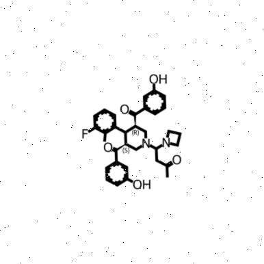 CC(=O)CC(N1CCC1)N1C[C@H](C(=O)c2cccc(O)c2)C(c2cccc(F)c2C)[C@H](C(=O)c2cccc(O)c2)C1